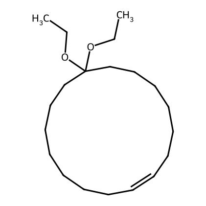 CCOC1(OCC)CCCCCCC=CCCCCCCC1